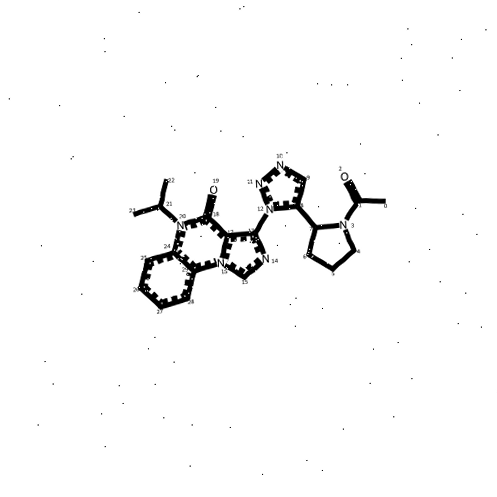 CC(=O)N1CCCC1c1cnnn1-c1ncn2c1c(=O)n(C(C)C)c1ccccc12